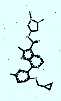 CC(=O)N1C[C@H](NC(=O)c2c(C)[nH]c3c(-c4cc(F)ccc4OCC4CC4)ncnc23)C[C@@H]1C